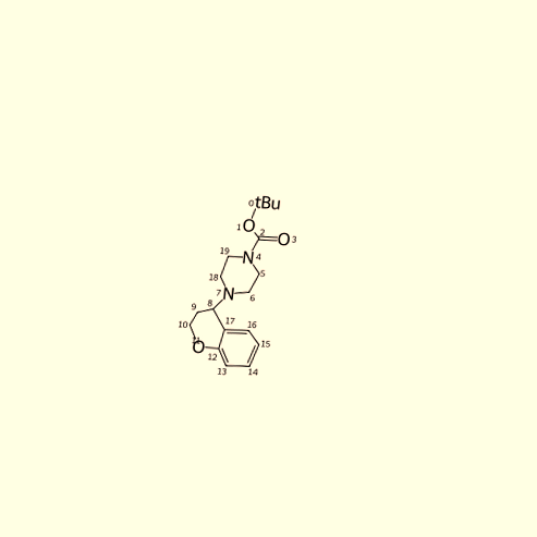 CC(C)(C)OC(=O)N1CCN(C2CCOc3ccccc32)CC1